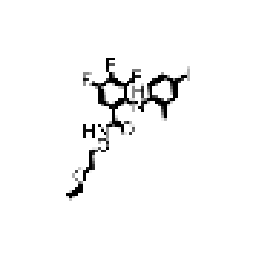 C=COCCONC(=O)c1cc(F)c(F)c(F)c1Nc1ccc(I)cc1C